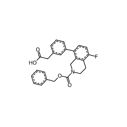 O=C(O)Cc1cccc(-c2ccc(F)c3c2CN(C(=O)OCc2ccccc2)CC3)c1